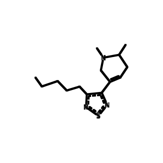 CCCCCc1nsnc1C1=CCC(C)N(C)C1